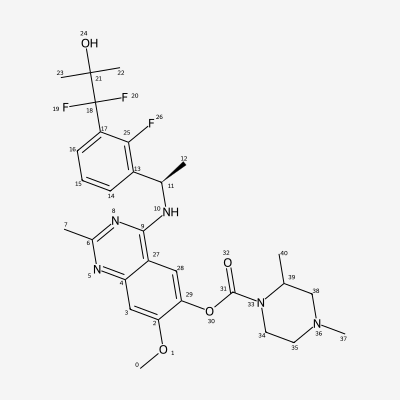 COc1cc2nc(C)nc(N[C@H](C)c3cccc(C(F)(F)C(C)(C)O)c3F)c2cc1OC(=O)N1CCN(C)CC1C